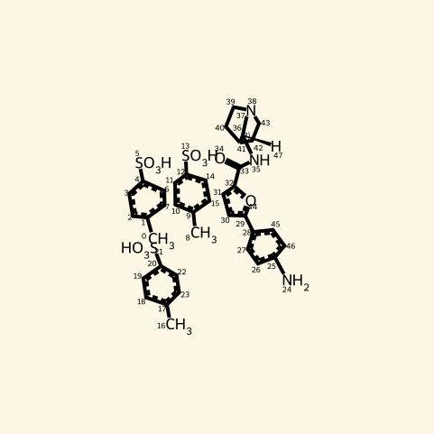 Cc1ccc(S(=O)(=O)O)cc1.Cc1ccc(S(=O)(=O)O)cc1.Cc1ccc(S(=O)(=O)O)cc1.Nc1ccc(-c2ccc(C(=O)N[C@H]3CN4CCC3CC4)o2)cc1